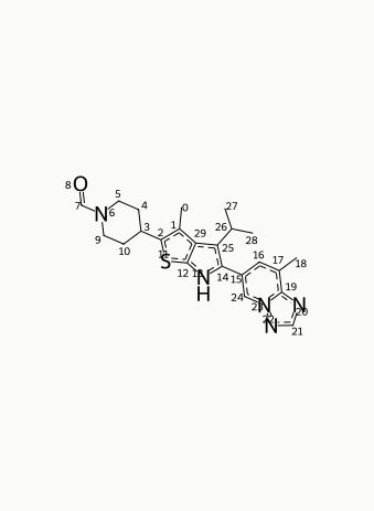 Cc1c(C2CCN(C=O)CC2)sc2[nH]c(-c3cc(C)c4ncnn4c3)c(C(C)C)c12